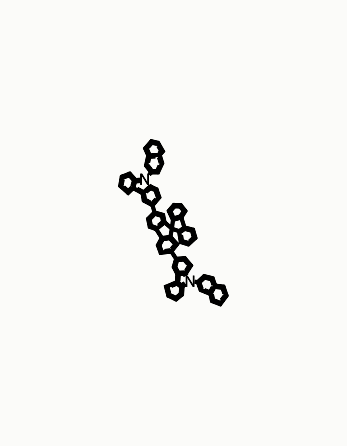 c1ccc2c(c1)-c1ccccc1C21c2cc(-c3ccc4c(c3)c3ccccc3n4-c3ccc4ccccc4c3)ccc2-c2ccc(-c3ccc4c(c3)c3ccccc3n4-c3ccc4ccccc4c3)cc21